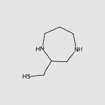 SCC1CNCCCN1